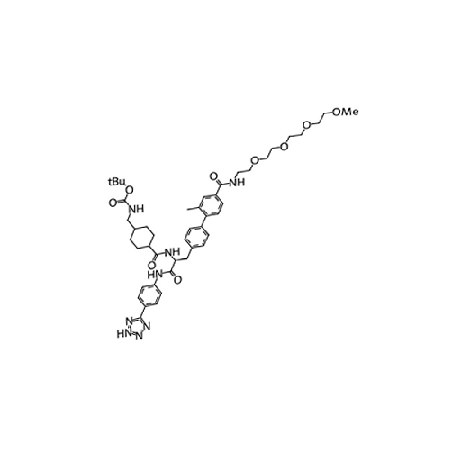 COCCOCCOCCOCCNC(=O)c1ccc(-c2ccc(C[C@H](NC(=O)C3CCC(CNC(=O)OC(C)(C)C)CC3)C(=O)Nc3ccc(-c4nn[nH]n4)cc3)cc2)c(C)c1